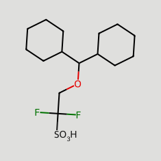 O=S(=O)(O)C(F)(F)COC(C1CCCCC1)C1CCCCC1